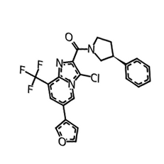 O=C(c1nc2c(C(F)(F)F)cc(-c3ccoc3)cn2c1Cl)N1CC[C@@H](c2ccccc2)C1